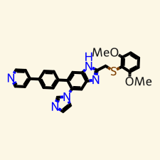 COc1cccc(OC)c1SCc1nc2cc(-n3ccnc3)c(-c3ccc(-c4ccncc4)cc3)cc2[nH]1